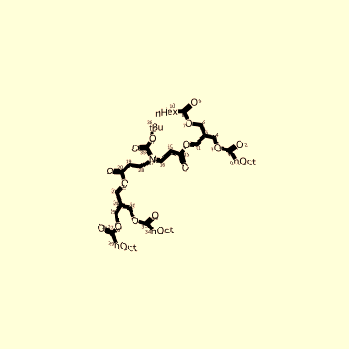 CCCCCCCCC(=O)OCC(COC(=O)CCCCCC)COC(=O)CCN(CCC(=O)OCC(COC(=O)CCCCCCCC)COC(=O)CCCCCCCC)C(=O)OC(C)(C)C